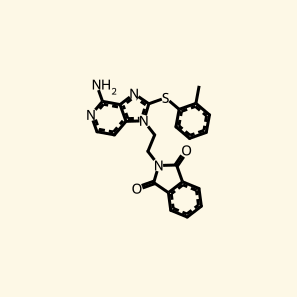 Cc1ccccc1Sc1nc2c(N)nccc2n1CCN1C(=O)c2ccccc2C1=O